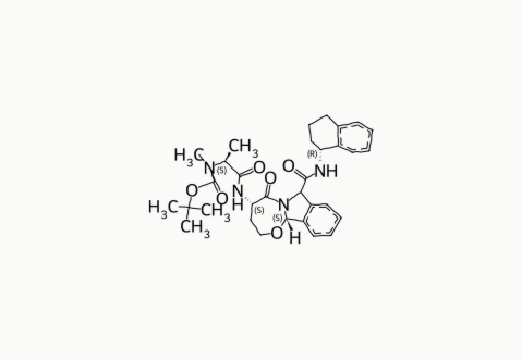 C[C@@H](C(=O)N[C@H]1CCO[C@H]2c3ccccc3C(C(=O)N[C@@H]3CCCc4ccccc43)N2C1=O)N(C)C(=O)OC(C)(C)C